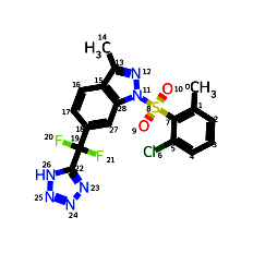 Cc1cccc(Cl)c1S(=O)(=O)n1nc(C)c2ccc(C(F)(F)c3nnn[nH]3)cc21